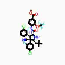 COC(=O)c1ccc(NC(=O)[C@@H]2N[C@@H](CC(C)(C)C)[C@](C#N)(c3ccc(Cl)cc3F)[C@H]2c2cccc(Cl)c2F)c(OC(F)(F)F)c1